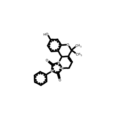 CC1(C)Oc2cc(O)ccc2C2C1=CCn1c(=O)n(-c3ccccc3)c(=O)n12